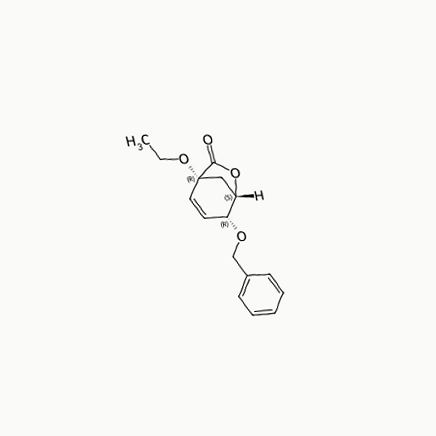 CCO[C@@]12C=C[C@@H](OCc3ccccc3)[C@H](C1)OC2=O